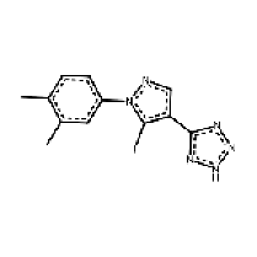 Cc1ccc(-n2ncc(-c3nn[nH]n3)c2I)cc1C